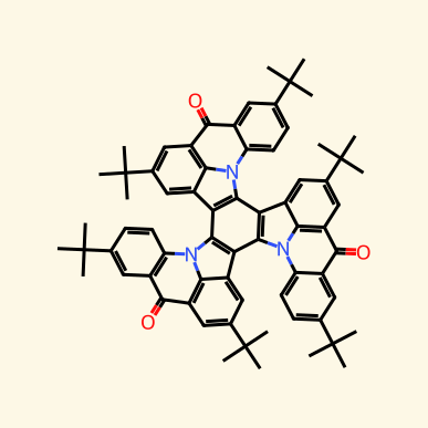 CC(C)(C)c1ccc2c(c1)c(=O)c1cc(C(C)(C)C)cc3c4c(c5c6cc(C(C)(C)C)cc7c(=O)c8cc(C(C)(C)C)ccc8n(c76)c5c5c6cc(C(C)(C)C)cc7c(=O)c8cc(C(C)(C)C)ccc8n(c76)c45)n2c13